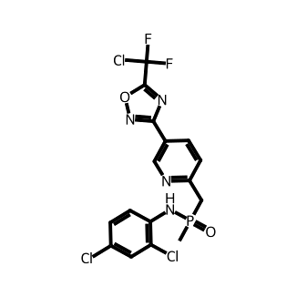 CP(=O)(Cc1ccc(-c2noc(C(F)(F)Cl)n2)cn1)Nc1ccc(Cl)cc1Cl